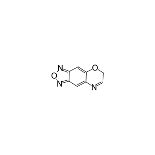 C1=Nc2cc3nonc3cc2OC1